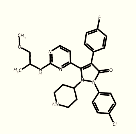 COCC(C)Nc1nccc(-c2c(-c3ccc(F)cc3)c(=O)n(-c3ccc(Cl)cc3)n2C2CCNCC2)n1